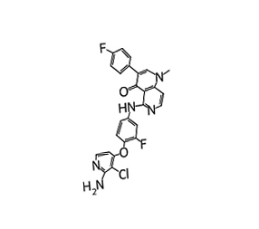 Cn1cc(-c2ccc(F)cc2)c(=O)c2c(Nc3ccc(Oc4ccnc(N)c4Cl)c(F)c3)nccc21